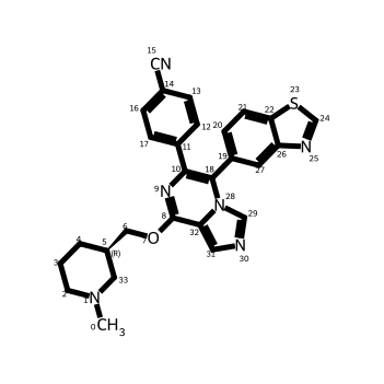 CN1CCC[C@@H](COc2nc(-c3ccc(C#N)cc3)c(-c3ccc4scnc4c3)n3cncc23)C1